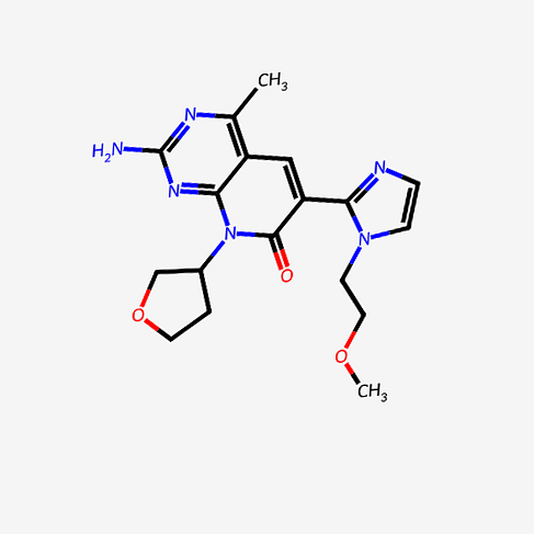 COCCn1ccnc1-c1cc2c(C)nc(N)nc2n(C2CCOC2)c1=O